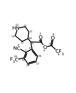 N#Cc1c(C(C(=O)OC(=O)C(F)(F)F)C2CCNCC2)cccc1C(F)(F)F